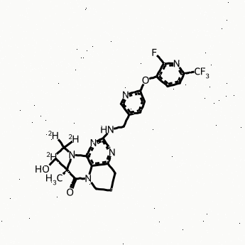 [2H]C([2H])([2H])N1c2nc(NCc3ccc(Oc4ccc(C(F)(F)F)nc4F)nc3)nc3c2N(CCC3)C(=O)[C@]1(C)CO